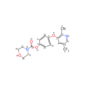 N#Cc1ncc(C(F)(F)F)cc1Oc1ccc(OC(=O)N2CCOCC2)cc1